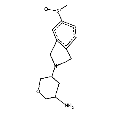 C[S+]([O-])c1ccc2c(c1)CN(C1COCC(N)C1)C2